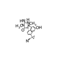 CN1C(=N)N[C@](C)(c2cccc(O)c2)[C@H](c2ccc(C3(C#N)CC3)cc2)C1=O